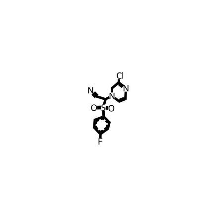 N#CC(N1C=CN=C(Cl)C1)S(=O)(=O)c1ccc(F)cc1